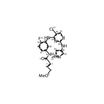 COC/C=C/C(=O)Nc1ccc(F)c(Nc2nc(Nc3cnn(C)c3)ncc2Cl)c1